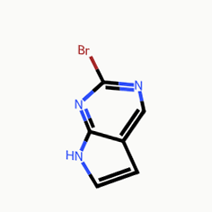 Brc1ncc2cc[nH]c2n1